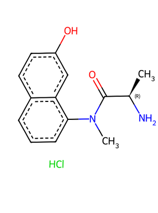 C[C@@H](N)C(=O)N(C)c1cccc2ccc(O)cc12.Cl